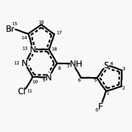 Fc1ccsc1CNc1nc(Cl)nn2c(Br)ccc12